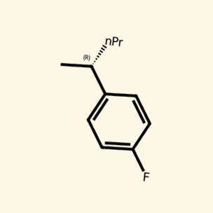 CCC[C@@H](C)c1ccc(F)cc1